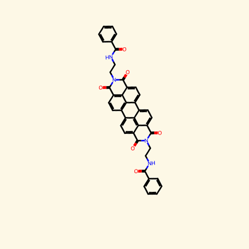 O=C(NCCN1C(=O)c2ccc3c4ccc5c6c(ccc(c7ccc(c2c37)C1=O)c64)C(=O)N(CCNC(=O)c1ccccc1)C5=O)c1ccccc1